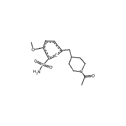 COc1ccc(CC2CCN(C(C)=O)CC2)cc1S(N)(=O)=O